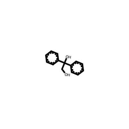 OCC(O)(c1ccccc1)c1ccccc1